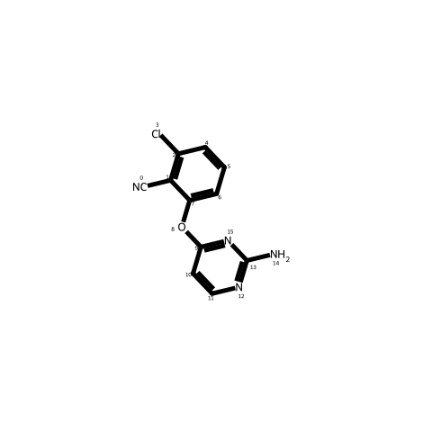 N#Cc1c(Cl)cccc1Oc1ccnc(N)n1